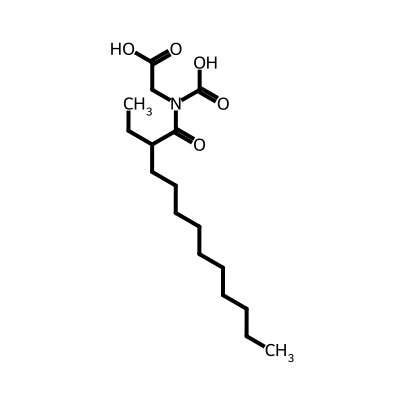 CCCCCCCCCCC(CC)C(=O)N(CC(=O)O)C(=O)O